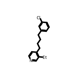 CCc1cnccc1CCCCc1cccc(Cl)c1